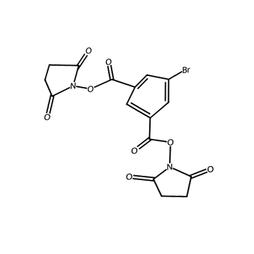 O=C(ON1C(=O)CCC1=O)c1cc(Br)cc(C(=O)ON2C(=O)CCC2=O)c1